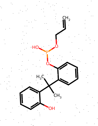 C=CCOP(O)Oc1ccccc1C(C)(C)c1ccccc1O